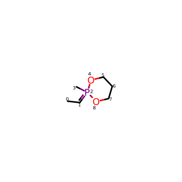 CC=P1(C)OCCCO1